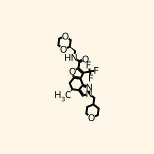 C[C@@H]1Cc2oc(C(=O)NC[C@@H]3COCCO3)c(C(F)(F)F)c2-c2nn(CC3CCOCC3)cc21